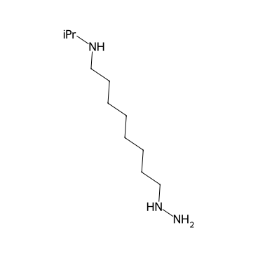 CC(C)NCCCCCCCCNN